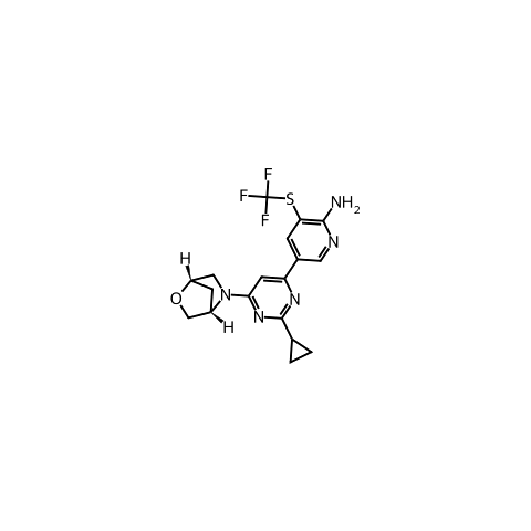 Nc1ncc(-c2cc(N3C[C@@H]4C[C@H]3CO4)nc(C3CC3)n2)cc1SC(F)(F)F